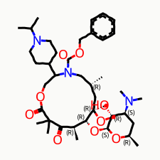 CO[C@]1(C)C[C@@H](C)CN(C(=O)OCc2ccccc2)C(C2CCN(C(C)C)CC2)COC(=O)C(C)(C)C(=O)[C@H](C)[C@H]1O[C@@H]1O[C@H](C)C[C@H](N(C)C)[C@H]1O